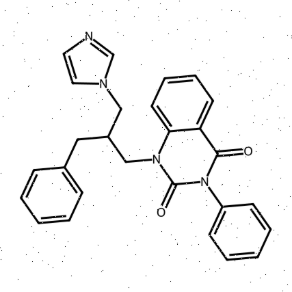 O=c1c2ccccc2n(CC(Cc2ccccc2)Cn2ccnc2)c(=O)n1-c1ccccc1